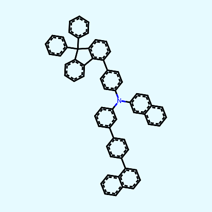 c1ccc(C2(c3ccccc3)c3ccccc3-c3c(-c4ccc(N(c5cccc(-c6ccc(-c7cccc8ccccc78)cc6)c5)c5ccc6ccccc6c5)cc4)cccc32)cc1